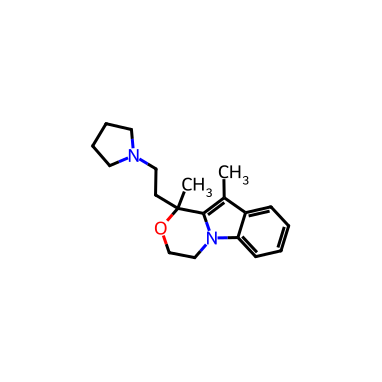 Cc1c2n(c3ccccc13)CCOC2(C)CCN1CCCC1